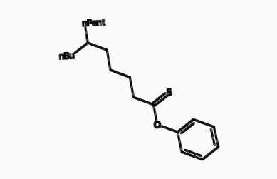 CCCCCC(CCCC)CCCCC(=S)Oc1ccccc1